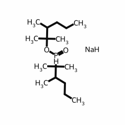 CCCC(C)C(C)(C)O[PH](=O)C(C)(C)C(C)CCC.[NaH]